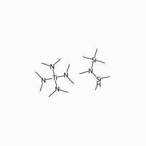 CN([SiH](C)C)[Si](C)(C)C.C[N](C)[Ti]([N](C)C)([N](C)C)[N](C)C